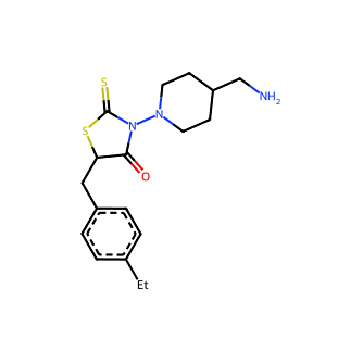 CCc1ccc(CC2SC(=S)N(N3CCC(CN)CC3)C2=O)cc1